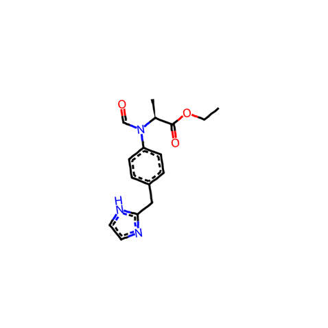 CCOC(=O)[C@H](C)N(C=O)c1ccc(Cc2ncc[nH]2)cc1